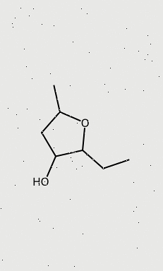 CCC1OC(C)CC1O